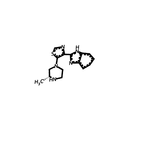 C[C@@H]1CN(c2scnc2-c2nc3ccccc3[nH]2)CCN1